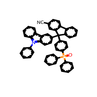 N#Cc1ccc2c(c1)C(c1ccc(P(=O)(c3ccccc3)c3ccccc3)cc1)(c1ccc3c(c1)c1ccccc1n3-c1ccccc1)c1ccccc1-2